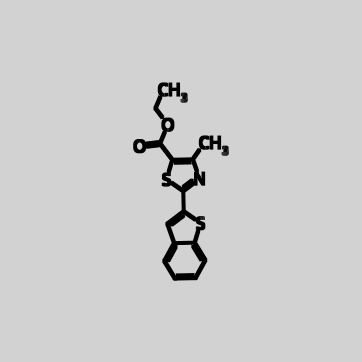 CCOC(=O)c1sc(-c2cc3ccccc3s2)nc1C